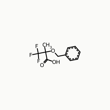 CC(OCc1ccccc1)(C(=O)O)C(F)(F)F